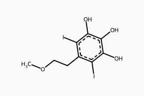 COCCc1c(I)c(O)c(O)c(O)c1I